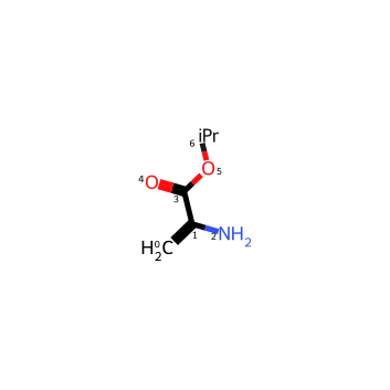 C=C(N)C(=O)OC(C)C